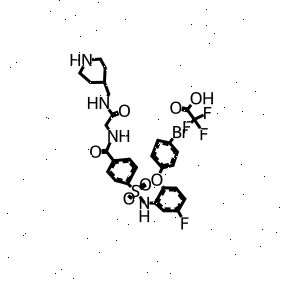 O=C(CNC(=O)c1ccc(S(=O)(=O)Nc2cc(F)ccc2Oc2ccc(Br)cc2)cc1)NCC1CCNCC1.O=C(O)C(F)(F)F